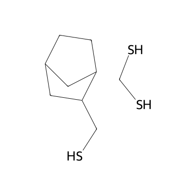 SCC1CC2CCC1C2.SCS